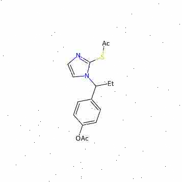 CCC(c1ccc(OC(C)=O)cc1)n1ccnc1SC(C)=O